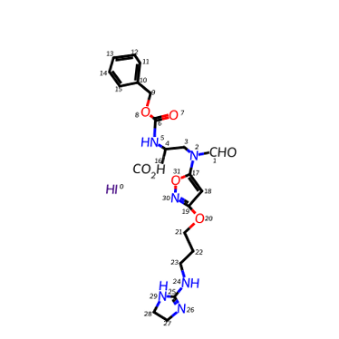 I.O=CN(CC(NC(=O)OCc1ccccc1)C(=O)O)c1cc(OCCCNC2=NCCN2)no1